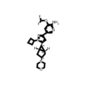 Nc1ncc(-c2cc([C@H]3[C@@H]4C[C@@H](N5CCOCC5)C[C@@H]43)n(C3CCC3)n2)cc1OC(F)F